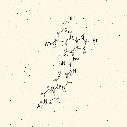 CCc1nc(-c2cc(CO)cc(OC)c2)c(-c2ccnc(Nc3ccc(N4CCN(C(C)=O)CC4)nc3)n2)s1